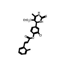 CCOC(=O)C1=C(C)NC(=S)NC1c1ccc(OC(=O)/C=C/c2ccccc2C)c(Cl)c1